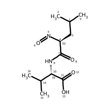 CC(C)C[C@H](N=O)C(=O)N[C@H](C(=O)O)C(C)C